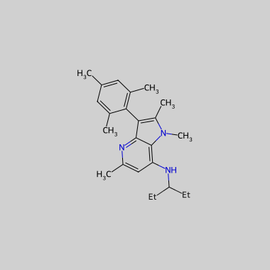 CCC(CC)Nc1cc(C)nc2c(-c3c(C)cc(C)cc3C)c(C)n(C)c12